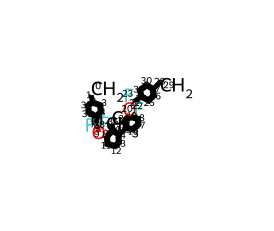 C=Cc1ccc(C(F)(F)Oc2cccc(-c3cccc(OC(F)(F)c4ccc(C=C)cc4)c3C)c2C)cc1